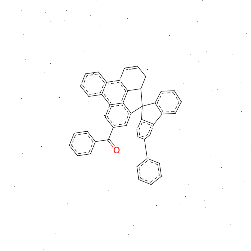 O=C(c1ccccc1)c1cc2c3c4c(c5ccccc5c3c1)C=CCC4C21c2ccccc2-c2cc(-c3ccccc3)ccc21